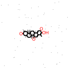 CC1=C(O)C(=O)C=C2C1=CC(=O)[C@@H]1[C@@]2(C)CC[C@@]2(C)[C@@H]3C[C@@H](C)C(=O)C[C@]3(C)CC[C@]12C